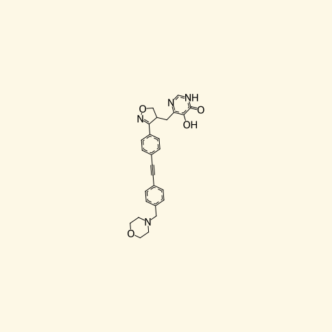 O=c1[nH]cnc(CC2CON=C2c2ccc(C#Cc3ccc(CN4CCOCC4)cc3)cc2)c1O